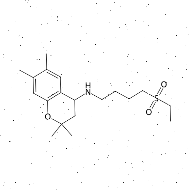 CCS(=O)(=O)CCCCNC1CC(C)(C)Oc2cc(C)c(C)cc21